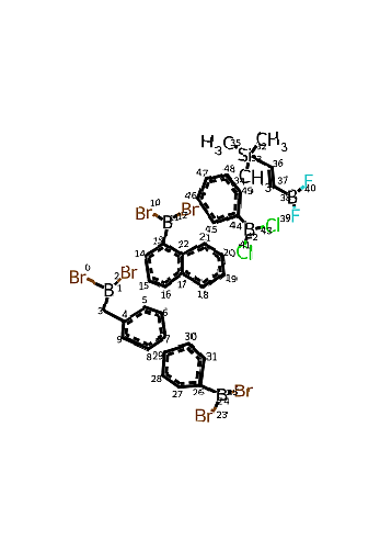 BrB(Br)Cc1ccccc1.BrB(Br)c1cccc2ccccc12.BrB(Br)c1ccccc1.C[Si](C)(C)/C=C/B(F)F.ClB(Cl)c1ccccc1